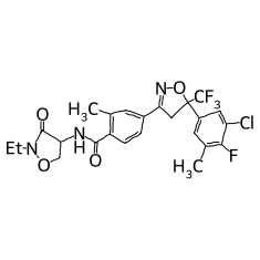 CCN1OCC(NC(=O)c2ccc(C3=NOC(c4cc(C)c(F)c(Cl)c4)(C(F)(F)F)C3)cc2C)C1=O